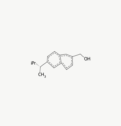 CC(C)[C@@H](C)c1ccc2cc(CO)ccc2c1